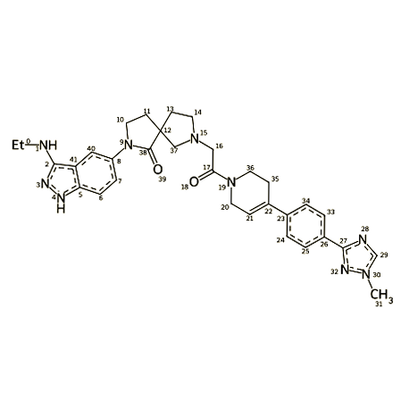 CCNc1n[nH]c2ccc(N3CCC4(CCN(CC(=O)N5CC=C(c6ccc(-c7ncn(C)n7)cc6)CC5)C4)C3=O)cc12